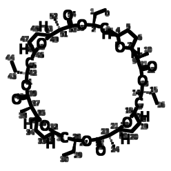 CC[C@H]1C[C@@H]2CC[C@@H](O2)[C@@H](C)C(=O)O[C@H](CC)C[C@H]2CC[C@H](O2)[C@H](C)C(=O)O[C@@H](CC)C[C@@H]2CC[C@@H](O2)[C@@H](C)C(=O)O[C@H](CC)C[C@H]2CC[C@H](O2)[C@H](C)C(=O)O1